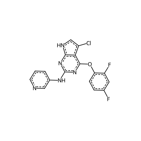 Fc1ccc(Oc2nc(Nc3cccnc3)nc3[nH]cc(Cl)c23)c(F)c1